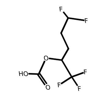 O=C(O)OC(CCC(F)F)C(F)(F)F